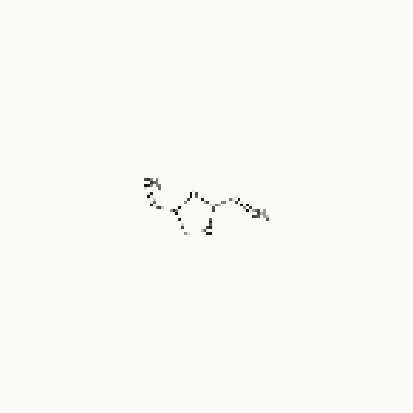 C=CC1COC(C=C)O1